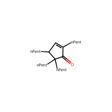 CCCCCC1=CC(CCCCC)C(CCCCC)(CCCCC)C1=O